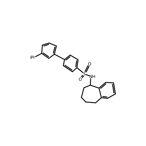 CC(C)c1cccc(-c2ccc(S(=O)(=O)NC3CCCCc4ccccc43)cc2)c1